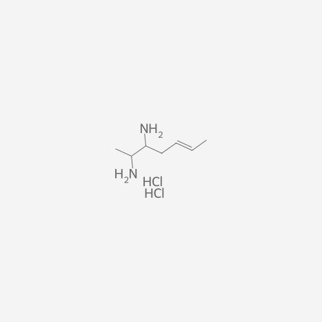 C/C=C/CC(N)C(C)N.Cl.Cl